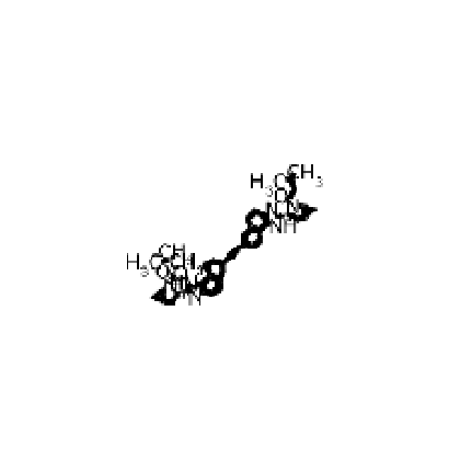 CC(C)CC(=O)N1C2CC2C[C@H]1c1nc2ccc3cc(C#Cc4ccc5c(ccc6nc([C@@H]7CC8CC8N7C(=O)OC(C)(C)C)[nH]c65)c4)ccc3c2[nH]1